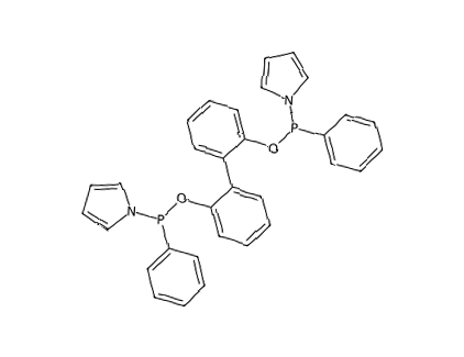 c1ccc(P(Oc2ccccc2-c2ccccc2OP(c2ccccc2)n2cccc2)n2cccc2)cc1